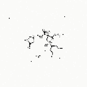 CCCC(CCC)S(=O)(=O)CC(N)(C(N)=O)C(=O)OC[C@H]1CNC(=O)C1.Cl